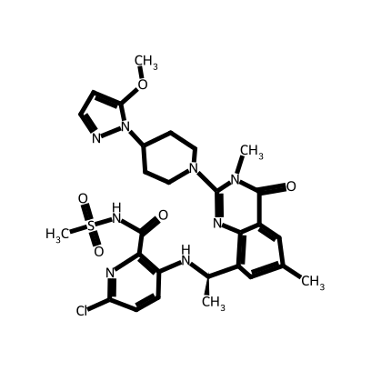 COc1ccnn1C1CCN(c2nc3c([C@@H](C)Nc4ccc(Cl)nc4C(=O)NS(C)(=O)=O)cc(C)cc3c(=O)n2C)CC1